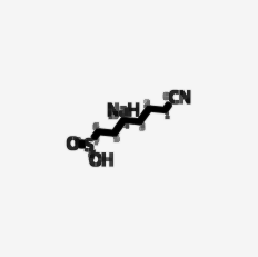 N#CCCCCCCS(=O)O.[NaH]